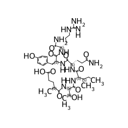 CC[C@H](C)[C@H](NC(=O)[C@@H](NC(=O)[C@@H](C)CCC(=O)O)[C@@H](C)O)C(=O)N[C@@H](CCC(N)=O)C(=O)N[C@@H](Cc1ccc(O)cc1)C(=O)N[C@@H](CCCNC(=N)N)C(N)=O